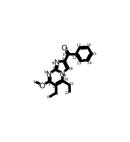 CCc1c(OC)nc2nc(C(=O)c3ccccc3)cn2c1CC